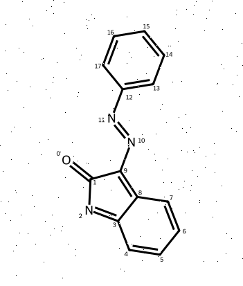 O=C1N=c2ccccc2=C1/N=N/c1ccccc1